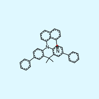 CC1(C)c2cc(-c3ccccc3)ccc2N(c2cccc3cccc(C#N)c23)c2ccc(-c3ccccc3)cc21